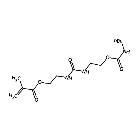 C=C(C)C(=O)OCCNC(=O)NCCOC(=O)NCCCC